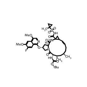 COc1cc2c(OC)cnc(O[C@@H]3C[C@H]4C(=O)NC5(C(=O)NS(=O)(=O)C6(C)CC6)CC5/C=C\CC[C@@H](C)C[C@@H](C)[C@H](NC(=O)OC(C)(C)C)C(=O)N4C3)c2cc1F